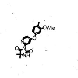 COc1cc(Oc2ccnc(N3C(=O)NC(C)(C)C3=O)c2)ccc1C